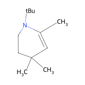 CC1=CC(C)(C)CCN1C(C)(C)C